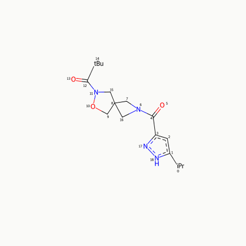 CC(C)c1cc(C(=O)N2CC3(CON(C(=O)C(C)(C)C)C3)C2)n[nH]1